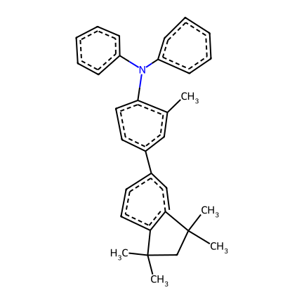 Cc1cc(-c2ccc3c(c2)C(C)(C)CC3(C)C)ccc1N(c1ccccc1)c1ccccc1